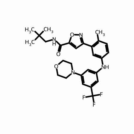 Cc1ccc(Nc2cc(N3CCOCC3)cc(C(F)(F)F)c2)cc1-c1cc(C(=O)NCC(C)(C)C)on1